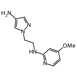 COc1ccnc(NCCn2cc(N)cn2)c1